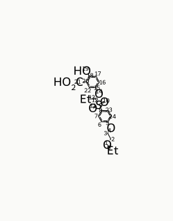 CCOCCOc1ccc(S(=O)(=O)C(CC)Oc2ccc(O)c(C(=O)O)c2)cc1